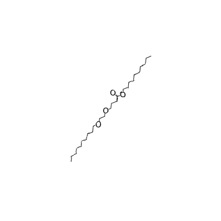 CCCCCCCCCCOCCOCCCC(=O)OCCCCCCCCCC